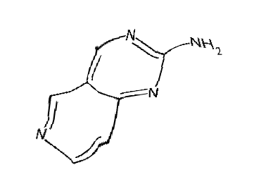 Nc1ncc2cnccc2n1